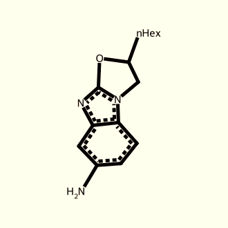 CCCCCCC1Cn2c(nc3cc(N)ccc32)O1